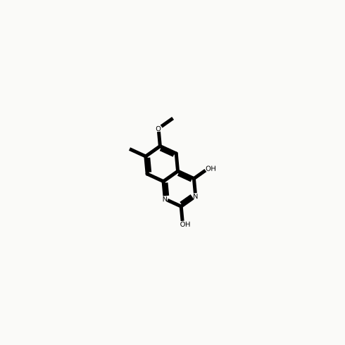 COc1cc2c(O)nc(O)nc2cc1C